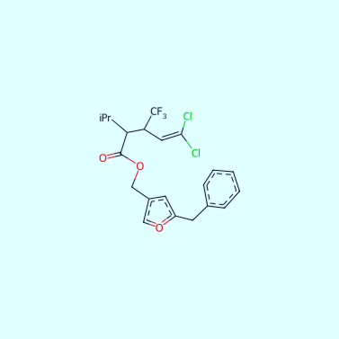 CC(C)C(C(=O)OCc1coc(Cc2ccccc2)c1)C(C=C(Cl)Cl)C(F)(F)F